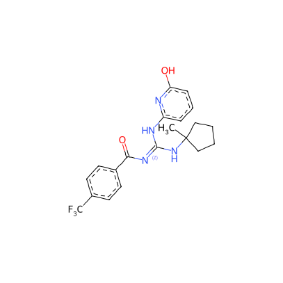 CC1(N/C(=N/C(=O)c2ccc(C(F)(F)F)cc2)Nc2cccc(O)n2)CCCC1